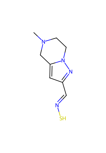 CN1CCn2nc(/C=N/S)cc2C1